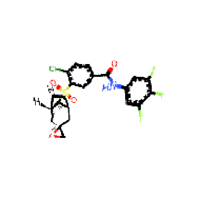 O=C(Nc1cc(F)c(F)c(F)c1)c1ccc(Cl)c(S(=O)(=O)[C@H]2C3CC[C@H]2C[C@@]2(CO2)C3)c1